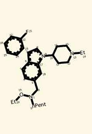 CCCCCN(Cc1ccc2ccn(C3CCN(CC)CC3)c2c1)OCC.Fc1ccccc1